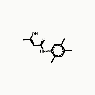 C/C(O)=C/C(=O)Nc1cc(C)c(C)cc1C